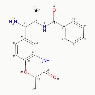 CCCC(NC(=O)c1ccccc1)C(N)c1ccc2c(c1)NC(=O)C(C)O2